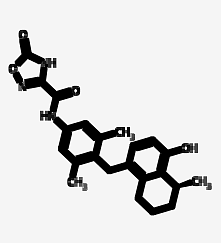 Cc1cc(NC(=O)c2noc(=O)[nH]2)cc(C)c1Cc1ccc(O)c2c1CCC[C@@H]2C